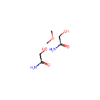 COC.NC(=O)CO.NC(=O)CO